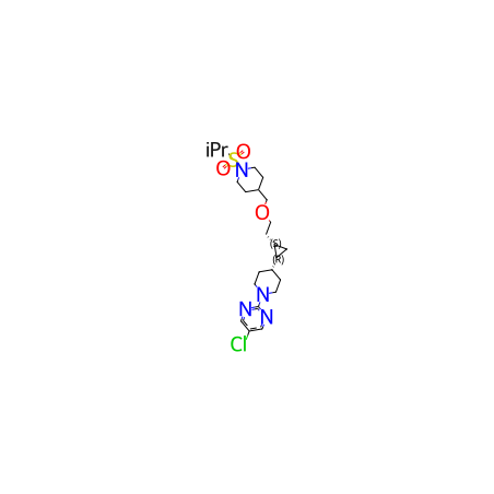 CC(C)S(=O)(=O)N1CCC(COCC[C@@H]2C[C@@H]2C2CCN(c3ncc(Cl)cn3)CC2)CC1